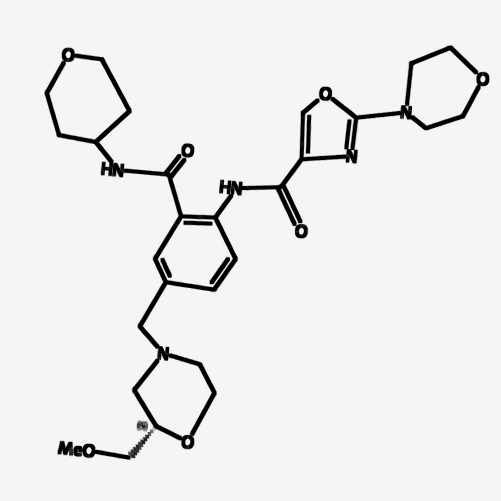 COC[C@@H]1CN(Cc2ccc(NC(=O)c3coc(N4CCOCC4)n3)c(C(=O)NC3CCOCC3)c2)CCO1